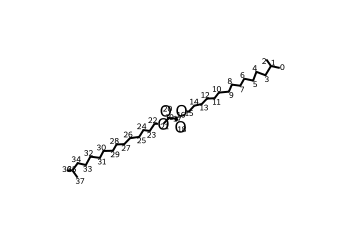 CC(C)CCCCCCCCCCCCCOC(=O)C(=O)OCCCCCCCCCCCCCC(C)C